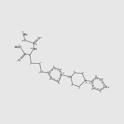 COC(=O)C(CCOc1ccc(N2CCN(c3ccncc3)CC2)cc1)NC(=O)OC(C)(C)C